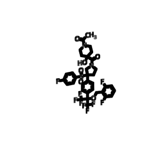 CC(=O)N1CCC(O)(C(=O)N2CCC(c3ccc(C(OCc4c(F)cccc4F)(C(F)(F)F)C(F)(F)F)cc3)(S(=O)(=O)c3ccc(F)cc3)C2)CC1